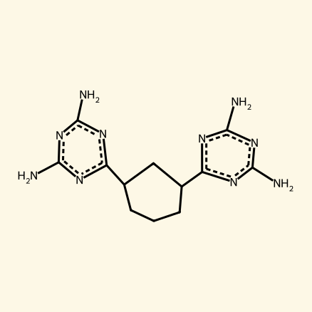 Nc1nc(N)nc(C2CCCC(c3nc(N)nc(N)n3)C2)n1